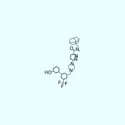 CN(CC12CC3CC(CC(C3)C1)C2)C(=O)c1ccc(N2CCN(Cc3cc(-c4cccc(O)c4)cc(C(F)(F)F)c3)CC2)nn1